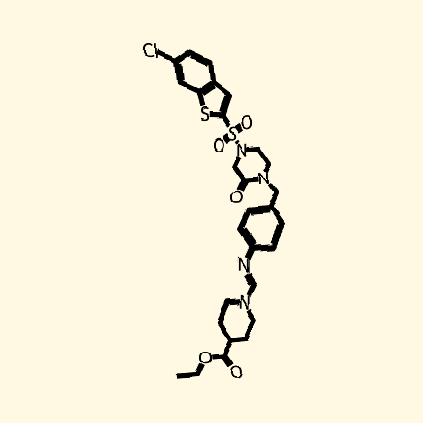 CCOC(=O)C1CCN(/C=N/c2ccc(CN3CCN(S(=O)(=O)c4cc5ccc(Cl)cc5s4)CC3=O)cc2)CC1